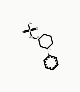 CC(C)(C)S(=O)(=O)N[C@H]1CCC[C@H](c2ccccc2)C1